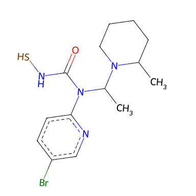 CC1CCCCN1C(C)N(C(=O)NS)c1ccc(Br)cn1